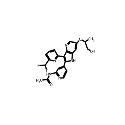 CC(=O)Nc1cc(-c2[nH]c3cc(OC(C)CO)cnc3c2-c2cccc(C(F)F)n2)ccn1